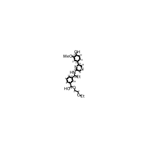 CCOCCO[C@@H](O)c1cccc(C(CC)Nc2cncc(-c3ccc(O)c(OC)c3)n2)c1